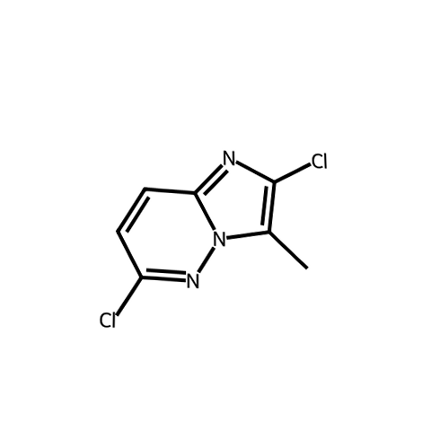 Cc1c(Cl)nc2ccc(Cl)nn12